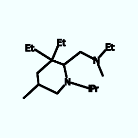 CCN(C)CC1N(C(C)C)CC(C)CC1(CC)CC